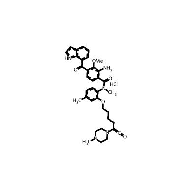 COc1c(C(=O)c2cccc3cc[nH]c23)ccc(C(=O)N(C)c2ccc(C)cc2OCCCCC(=C=O)N2CCN(C)CC2)c1N.Cl